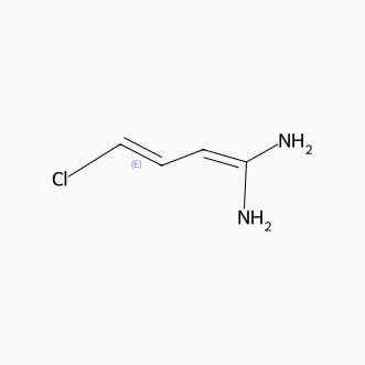 NC(N)=C/C=C/Cl